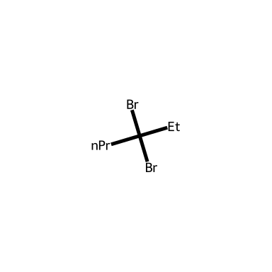 [CH2]CC(Br)(Br)CCC